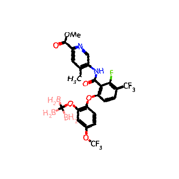 BC(B)(B)Oc1cc(OC(F)(F)F)ccc1Oc1ccc(C(F)(F)F)c(F)c1C(=O)Nc1cnc(C(=O)OC)cc1C